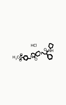 CS(=O)(=O)c1ccc(CN2CCC3(CCN(CCC(C(=O)NC4CCCCC4)c4ccccc4)CC3)C2=O)cc1.Cl